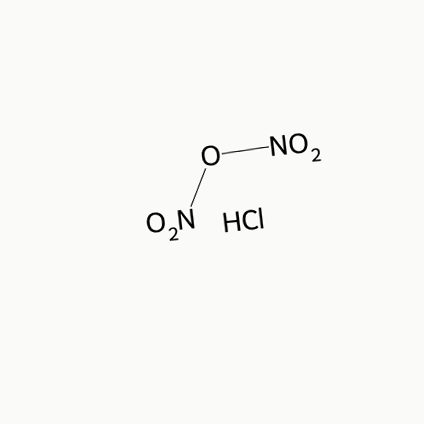 Cl.O=[N+]([O-])O[N+](=O)[O-]